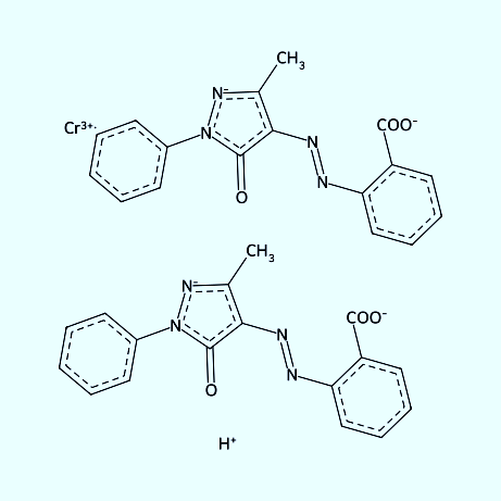 Cc1[n-]n(-c2ccccc2)c(=O)c1N=Nc1ccccc1C(=O)[O-].Cc1[n-]n(-c2ccccc2)c(=O)c1N=Nc1ccccc1C(=O)[O-].[Cr+3].[H+]